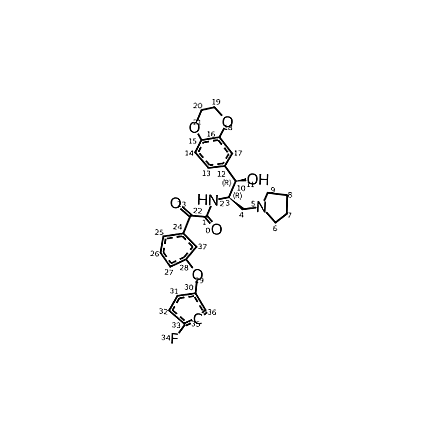 O=C(N[C@H](CN1CCCC1)[C@H](O)c1ccc2c(c1)OCCO2)C(=O)c1cccc(Oc2ccc(F)cc2)c1